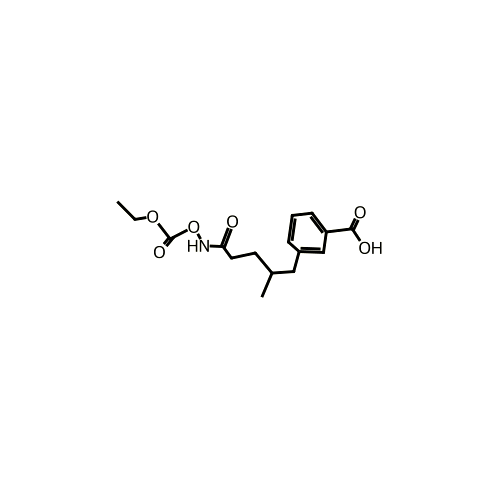 CCOC(=O)ONC(=O)CCC(C)Cc1cccc(C(=O)O)c1